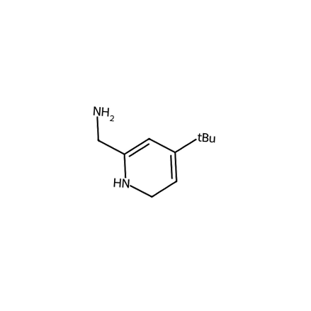 CC(C)(C)C1=CCNC(CN)=C1